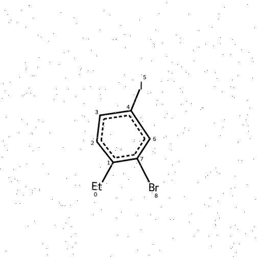 CCc1ccc(I)cc1Br